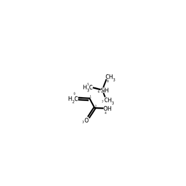 C=CC(=O)O.C[SiH](C)C